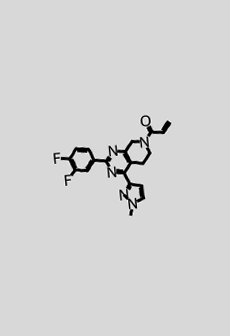 C=CC(=O)N1CCc2c(nc(-c3ccc(F)c(F)c3)nc2-c2ccn(C)n2)C1